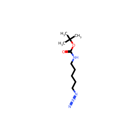 CC(C)(C)OC(=O)NCCCCCN=[N+]=[N-]